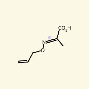 C=CCO/N=C(\C)C(=O)O